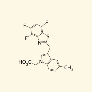 Cc1ccc2c(c1)c(Cc1nc3c(F)c(F)cc(F)c3s1)cn2CC(=O)O